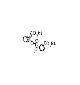 CCOC(=O)CN1CC2CCC1C2COC(=O)Nc1cccc(C(=O)OCC)c1